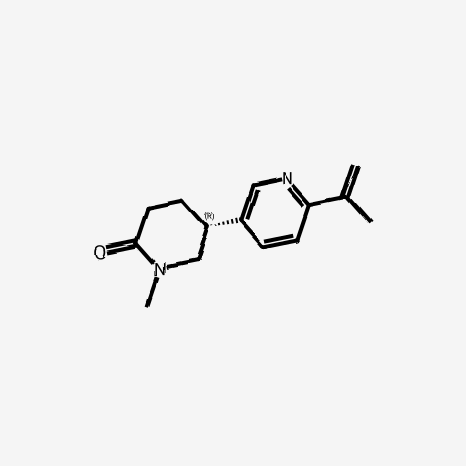 C=C(C)c1ccc([C@H]2CCC(=O)N(C)C2)cn1